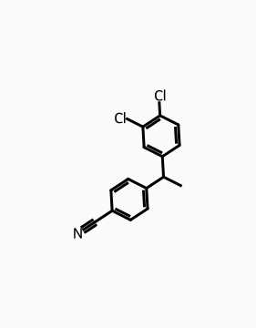 CC(c1ccc(C#N)cc1)c1ccc(Cl)c(Cl)c1